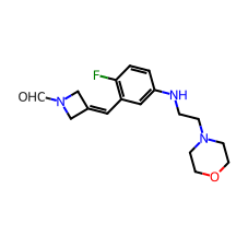 O=CN1CC(=Cc2cc(NCCN3CCOCC3)ccc2F)C1